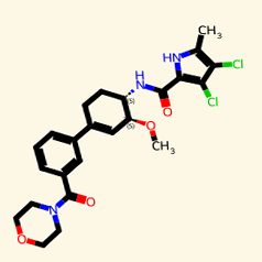 CO[C@H]1C=C(c2cccc(C(=O)N3CCOCC3)c2)CC[C@@H]1NC(=O)c1[nH]c(C)c(Cl)c1Cl